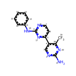 Nc1ncc(-c2ccnc(Nc3ccccc3)n2)c(C(F)(F)F)n1